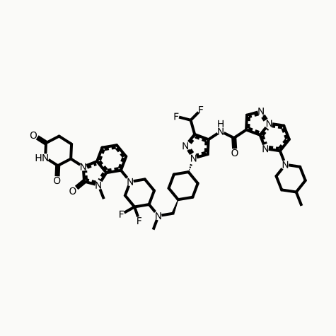 CC1CCN(c2ccn3ncc(C(=O)Nc4cn([C@H]5CC[C@H](CN(C)C6CCN(c7cccc8c7n(C)c(=O)n8C7CCC(=O)NC7=O)CC6(F)F)CC5)nc4C(F)F)c3n2)CC1